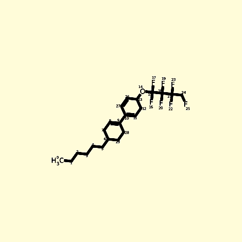 CCCCCCC1CC=C(C2=CCC(OC(F)(F)C(F)(F)C(F)(F)CF)C=C2)CC1